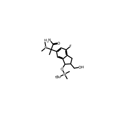 CN(C)C(C)(C(N)=O)c1cc(F)c2c(c1)C(O[Si](C)(C)C(C)(C)C)C(CO)C2